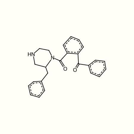 O=C(c1ccccc1)c1ccccc1C(=O)N1CCNCC1Cc1ccccc1